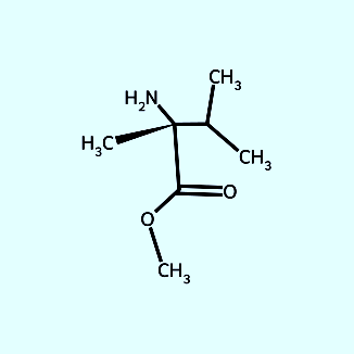 COC(=O)[C@](C)(N)C(C)C